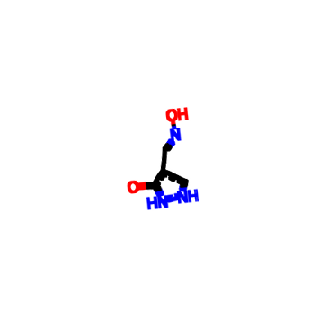 O=c1[nH][nH]cc1C=NO